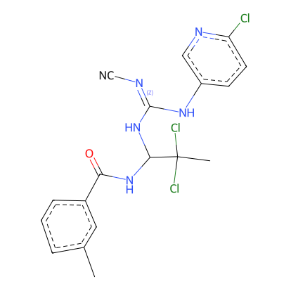 Cc1cccc(C(=O)NC(N/C(=N\C#N)Nc2ccc(Cl)nc2)C(C)(Cl)Cl)c1